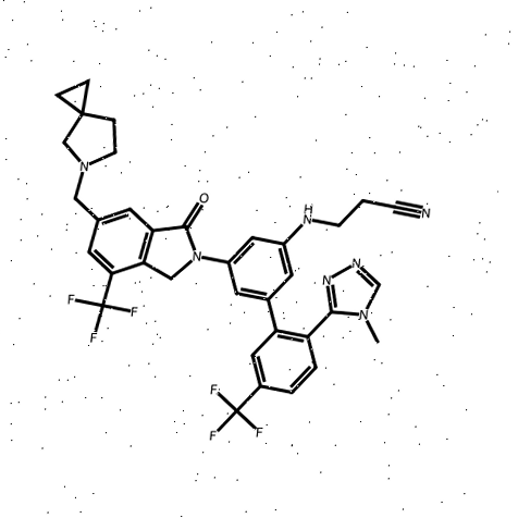 Cn1cnnc1-c1ccc(C(F)(F)F)cc1-c1cc(NCCC#N)cc(N2Cc3c(cc(CN4CCC5(CC5)C4)cc3C(F)(F)F)C2=O)c1